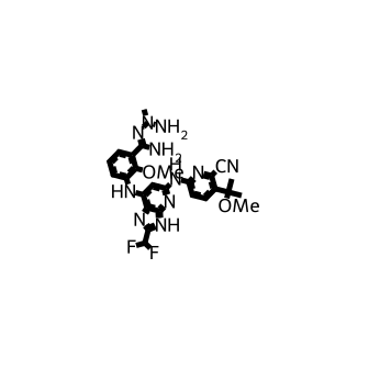 COc1c(Nc2cc(Nc3ccc(C(C)(C)OC)c(C#N)n3)nc3[nH]c(C(F)F)nc23)cccc1/C(N)=N/N(C)N